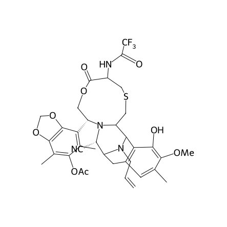 C=CCN1C2c3c(cc(C)c(OC)c3O)CC1[C@H](C#N)N1C2CSCC(NC(=O)C(F)(F)F)C(=O)OC[C@H]1c1c(C)c(OC(C)=O)c(C)c2c1OCO2